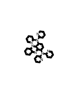 c1ccc(N(c2ccccn2)c2ccc(N(c3ccccn3)c3ccccn3)c3nc4ccccc4nc23)nc1